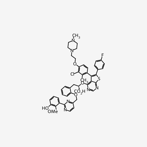 COc1c(O)cccc1-c1nccc(COc2ccccc2C[C@@H](Oc2ncnc3sc(-c4ccc(F)cc4)c(-c4ccc(OCCN5CCN(C)CC5)c(Cl)c4C)c23)C(=O)O)n1